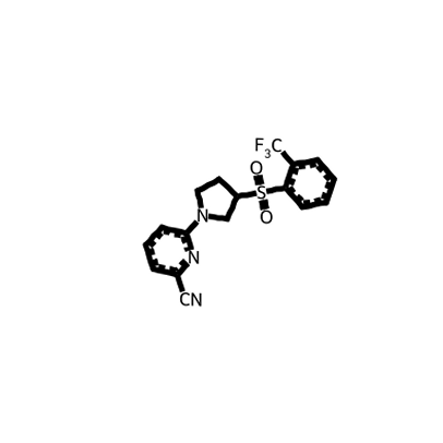 N#Cc1cccc(N2CCC(S(=O)(=O)c3ccccc3C(F)(F)F)C2)n1